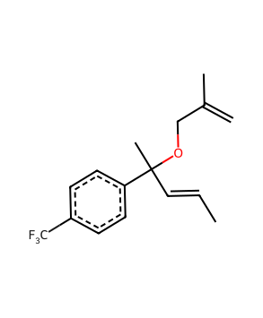 C=C(C)COC(C)(/C=C/C)c1ccc(C(F)(F)F)cc1